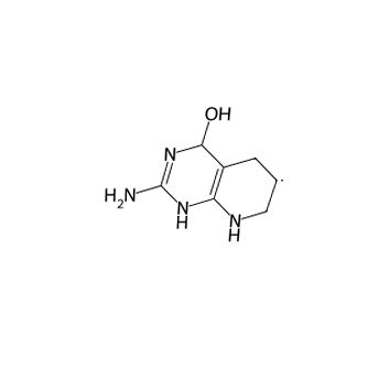 NC1=NC(O)C2=C(NC[CH]C2)N1